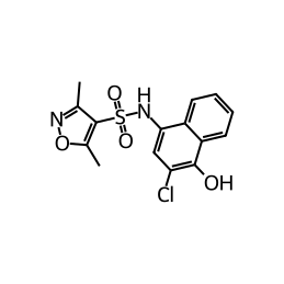 Cc1noc(C)c1S(=O)(=O)Nc1cc(Cl)c(O)c2ccccc12